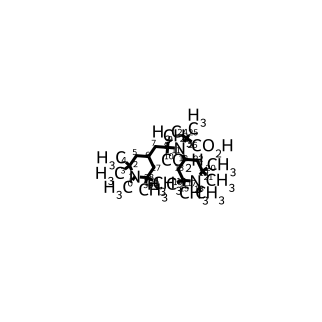 CN1C(C)(C)CC(CC(C)(C(=O)O)N(C2CC(C)(C)N(C)C(C)(C)C2)C(C)(C)C(=O)O)CC1(C)C